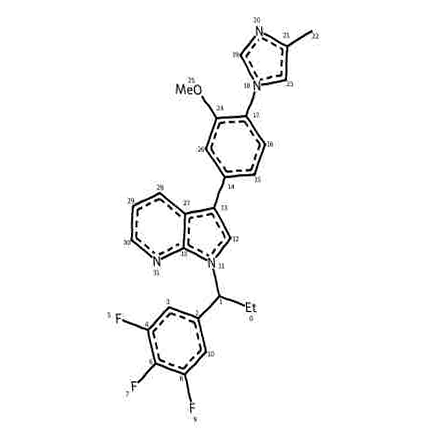 CCC(c1cc(F)c(F)c(F)c1)n1cc(-c2ccc(-n3cnc(C)c3)c(OC)c2)c2cccnc21